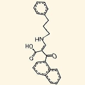 O=C(O)C(=CNCCCc1ccccc1)C(=O)c1cccc2ccccc12